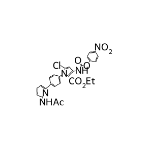 CCOC(=O)c1c(NC(=O)Oc2ccc([N+](=O)[O-])cc2)cc(Cl)n1-c1ccc(-c2cccc(NC(C)=O)n2)cc1